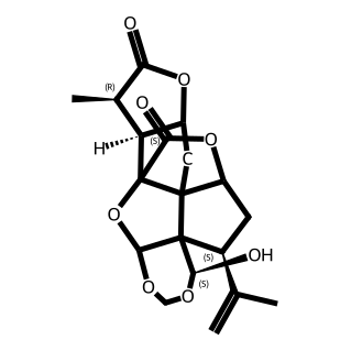 C=C(C)[C@@H]1CC2OC(=O)C34OC5OCO[C@H](O)C51C23CC1OC(=O)[C@H](C)[C@@H]14